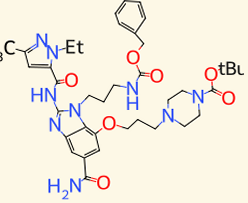 CCn1nc(C)cc1C(=O)Nc1nc2cc(C(N)=O)cc(OCCCN3CCN(C(=O)OC(C)(C)C)CC3)c2n1CCCNC(=O)OCc1ccccc1